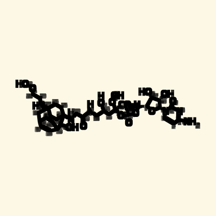 Nc1ccn([C@@H]2O[C@H](COP(=O)(O)O[C@@](CC(O)CNC(=O)CNC34CCC(NCCOO)(CC3)CC3C=CC(CC3)C4O)(OO)C(=O)O)[C@H](O)[C@@H]2O)c(=O)n1